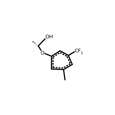 Cc1cc(O[C@H](C)O)cc(C(F)(F)F)c1